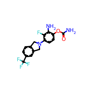 NC(=O)Oc1ccc(N2Cc3ccc(C(F)(F)F)cc3C2)c(F)c1N